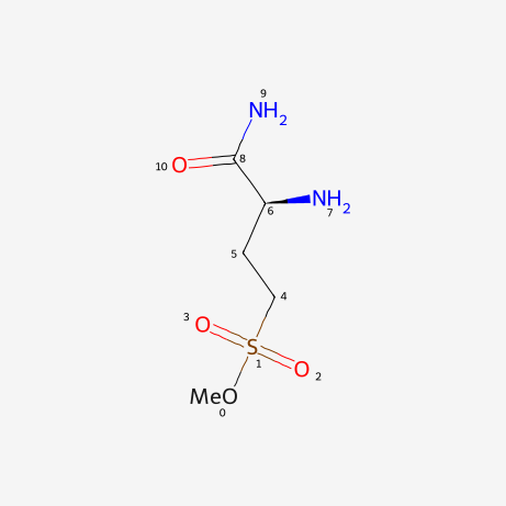 COS(=O)(=O)CC[C@H](N)C(N)=O